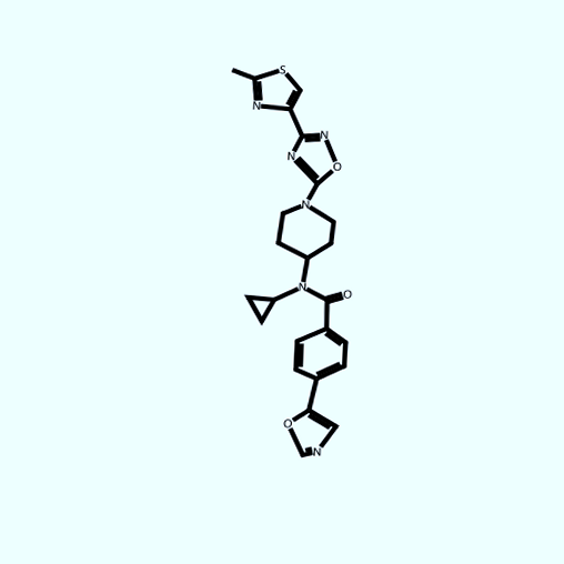 Cc1nc(-c2noc(N3CCC(N(C(=O)c4ccc(-c5cnco5)cc4)C4CC4)CC3)n2)cs1